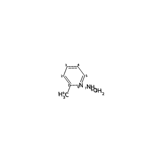 Cc1ccccn1.N.O